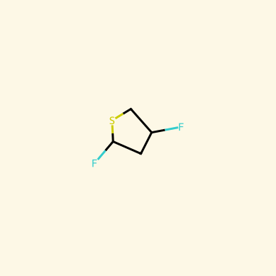 FC1CSC(F)C1